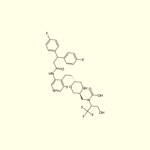 O=C(CC(c1ccc(F)cc1)c1ccc(F)cc1)Nc1cncc(F)c1CC[C@@H]1CN[C@@H](CN(C(=O)O)C(CO)C(F)(F)F)CO1